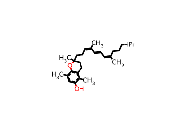 CC(C=CC=C(C)CCCC(C)C)=CCCC1(C)CCc2c(C)c(O)cc(C)c2O1